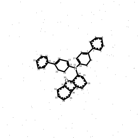 C1=C(c2ccccc2)CCC(N(C2=CC=C(c3ccccc3)CC2)c2cccc3c2oc2ccccc23)=C1